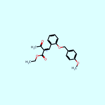 CCOC(=O)/C(=C/c1ccccc1OCc1ccc(OC)cc1)C(C)=O